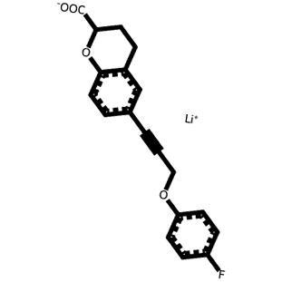 O=C([O-])C1CCc2cc(C#CCOc3ccc(F)cc3)ccc2O1.[Li+]